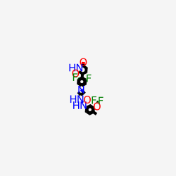 Cc1ccc(NC(=O)NC2CN(c3cc(F)c(C4CCC(=O)NC4=O)c(F)c3)C2)cc1OC(F)F